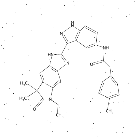 CCN1C(=O)C(C)(C)c2cc3[nH]c(-c4n[nH]c5ccc(NC(=O)Cc6ccc(C)cc6)cc45)nc3cc21